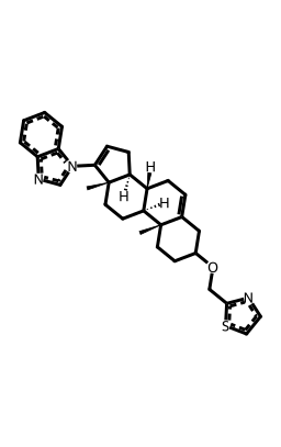 C[C@]12CCC(OCc3nccs3)CC1=CC[C@@H]1[C@@H]2CC[C@]2(C)C(n3cnc4ccccc43)=CC[C@@H]12